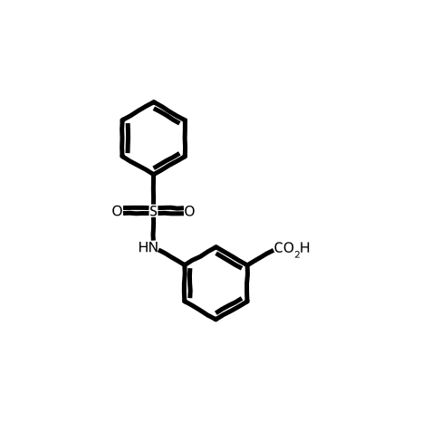 O=C(O)c1cccc(NS(=O)(=O)c2ccccc2)c1